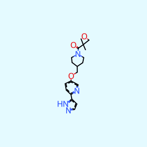 CC1(C(=O)N2CCC(COc3ccc(-c4ccn[nH]4)nc3)CC2)COC1